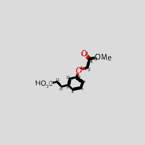 COC(=O)COc1cccc(CCC(=O)O)c1